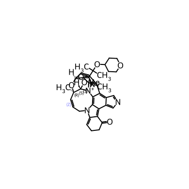 CO[C@H]1[C@@]2(C)/C=C\Cn3c4c(c5c6c(c7c(c53)[N@@+]1(N(C)C(=O)C(C)(C)OC1CCOCC1)C1=C7C=C[C@@H](C1)O2)C=NC=6)C(=O)CCC=4